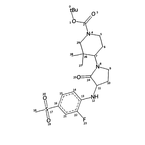 CC(C)(C)OC(=O)N1CCC(N2CCC(Nc3ccc(S(C)(=O)=O)cc3F)C2=O)C(C)(C)C1